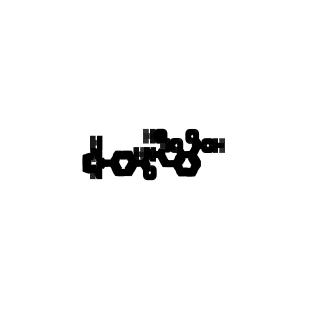 O=C(NC1Cc2cccc(C(=O)O)c2OB1O)c1ccc(-c2ncc[nH]2)cc1